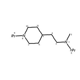 CCCN(C)CCC1CCN(C(C)C)CC1